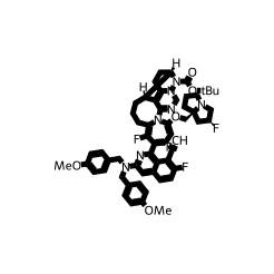 C#Cc1c(F)ccc2cc(N(Cc3ccc(OC)cc3)Cc3ccc(OC)cc3)nc(C3=C(F)C=C(OC[C@@]45CCCN4C[C@H](F)C5)N4C5=NCN6C7=C5[C@@H](CCCC4=C3F)[C@H](CC7)N6C(=O)OC(C)(C)C)c12